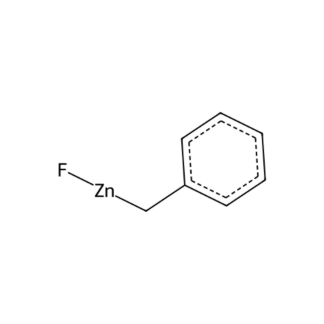 [F][Zn][CH2]c1ccccc1